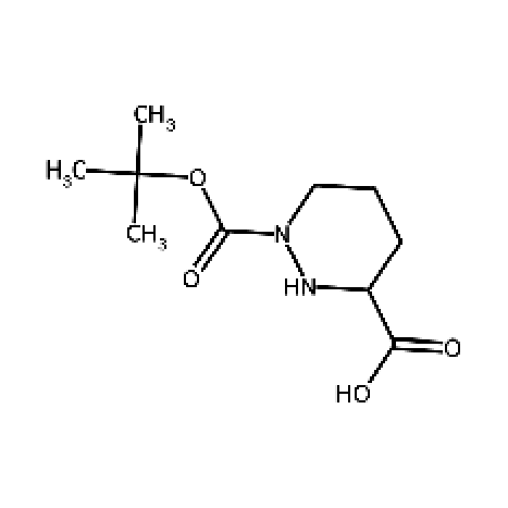 CC(C)(C)OC(=O)N1CCCC(C(=O)O)N1